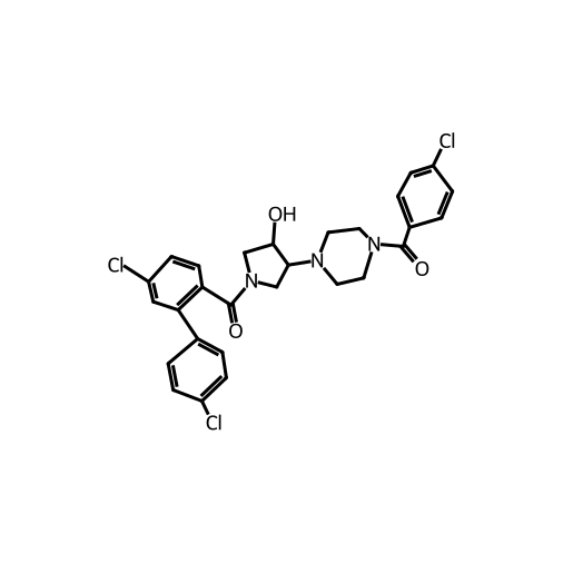 O=C(c1ccc(Cl)cc1)N1CCN(C2CN(C(=O)c3ccc(Cl)cc3-c3ccc(Cl)cc3)CC2O)CC1